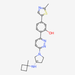 Cc1ncc(-c2ccc(-c3ccc(N4CC[C@H](NC5(C)CCC5)C4)nn3)c(O)c2)s1